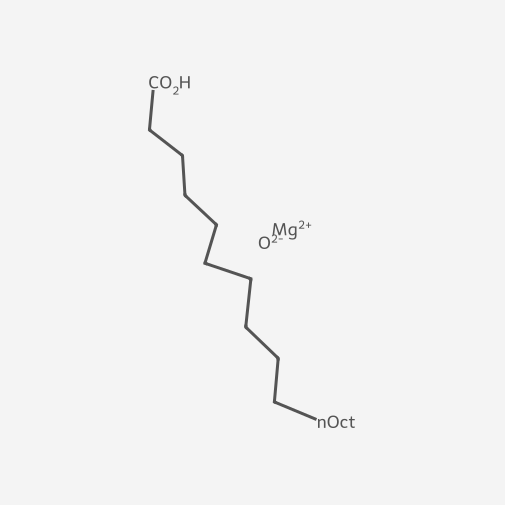 CCCCCCCCCCCCCCCCCC(=O)O.[Mg+2].[O-2]